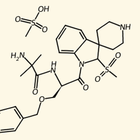 CC(C)(N)C(=O)N[C@H](COCc1ccccc1)C(=O)N1c2ccccc2C2(CCNCC2)C1S(C)(=O)=O.CS(=O)(=O)O